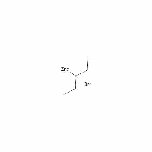 CC[CH]([Zn+])CC.[Br-]